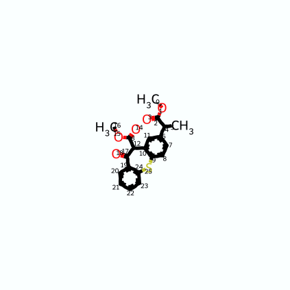 COC(=O)C(C)c1ccc2c(c1)C(C(=O)OC)C(=O)c1ccccc1S2